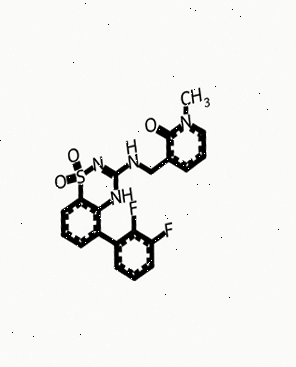 Cn1cccc(CNC2=NS(=O)(=O)c3cccc(-c4cccc(F)c4F)c3N2)c1=O